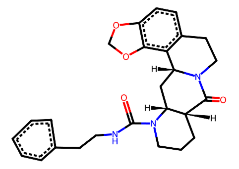 O=C1[C@@H]2CCCN(C(=O)NCCc3ccccc3)[C@@H]2C[C@@H]2c3c(ccc4c3OCO4)CCN12